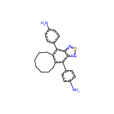 Nc1ccc(-c2c3c(c(-c4ccc(N)cc4)c4nsnc24)CCCCCCC3)cc1